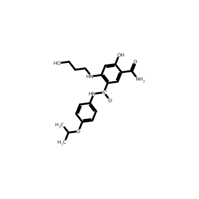 CC(C)Oc1ccc(N[S+]([O-])c2cc(C(N)=O)c(O)cc2NCCCO)cc1